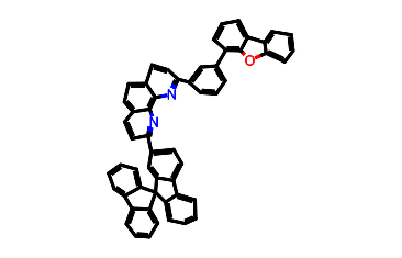 c1cc(-c2ccc3ccc4ccc(-c5ccc6c(c5)C5(c7ccccc7-c7ccccc75)c5ccccc5-6)nc4c3n2)cc(-c2cccc3c2oc2ccccc23)c1